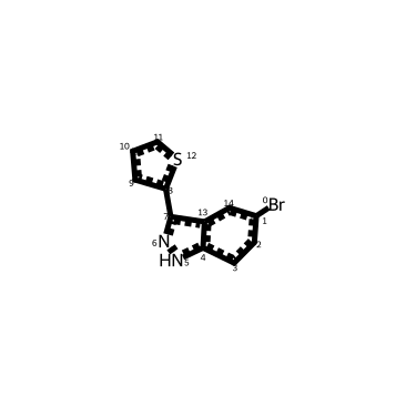 Brc1ccc2[nH]nc(-c3cccs3)c2c1